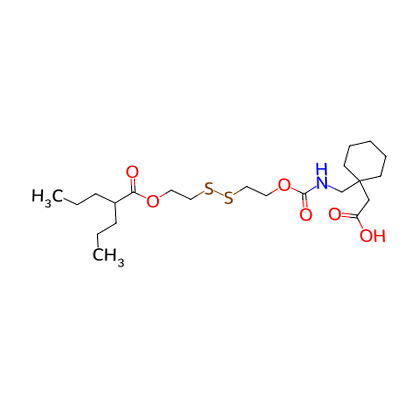 CCCC(CCC)C(=O)OCCSSCCOC(=O)NCC1(CC(=O)O)CCCCC1